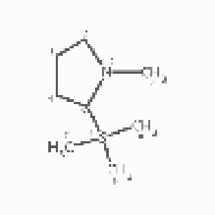 CN1CCCC1S(C)(C)C